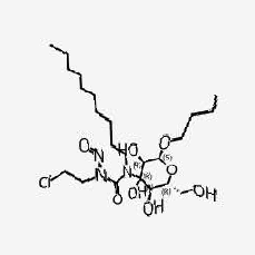 CCCCCCCCCCN(C(=O)N(CCCl)N=O)[C@@]1(O)[C@H](O)[C@@H](CO)O[C@H](OCCCC)[C@@H]1O